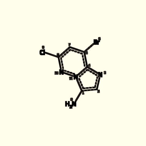 Nc1cnc2c(Br)cc(Cl)nn12